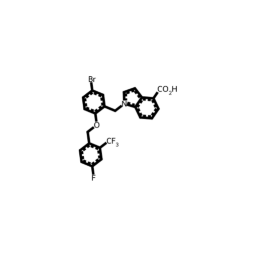 O=C(O)c1cccc2c1ccn2Cc1cc(Br)ccc1OCc1ccc(F)cc1C(F)(F)F